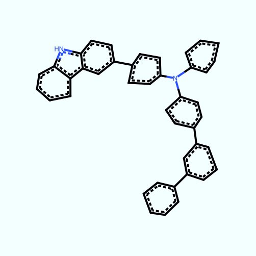 c1ccc(-c2cccc(-c3ccc(N(c4ccccc4)c4ccc(-c5ccc6[nH]c7ccccc7c6c5)cc4)cc3)c2)cc1